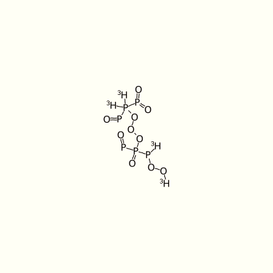 [3H]OOP([3H])P(=O)(OOOP([3H])([3H])(P=O)P(=O)=O)P=O